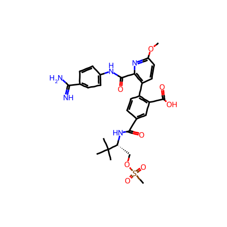 COc1ccc(-c2ccc(C(=O)N[C@H](COS(C)(=O)=O)C(C)(C)C)cc2C(=O)O)c(C(=O)Nc2ccc(C(=N)N)cc2)n1